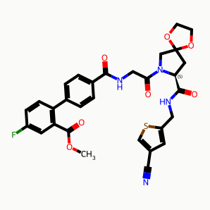 COC(=O)c1cc(F)ccc1-c1ccc(C(=O)NCC(=O)N2CC3(C[C@H]2C(=O)NCc2cc(C#N)cs2)OCCO3)cc1